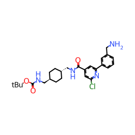 CC(C)(C)OC(=O)NC[C@H]1CC[C@H](CNC(=O)c2cc(Cl)nc(-c3cccc(CN)c3)c2)CC1